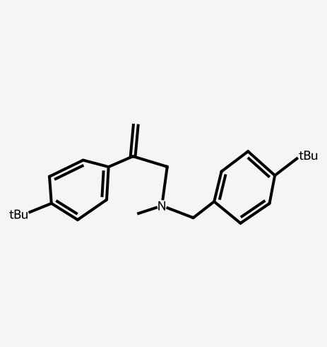 C=C(CN(C)Cc1ccc(C(C)(C)C)cc1)c1ccc(C(C)(C)C)cc1